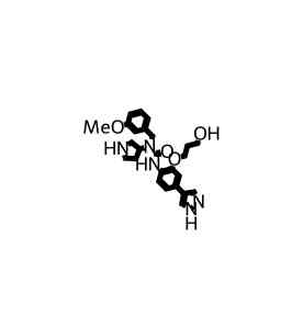 COc1cccc(CN(C(=O)Nc2ccc(-c3cn[nH]c3)cc2OCCCO)C2CCNC2)c1